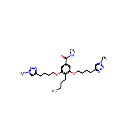 CCCCc1c(OCCCCc2cn(C)nn2)cc(C(=O)NC)cc1OCCCCc1cn(C)nn1